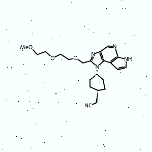 COCCOCCOCc1nc2cnc3[nH]ccc3c2n1[C@H]1CC[C@H](CC#N)CC1